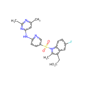 Cc1cc(Nc2ccc(S(=O)(=O)n3c(C)c(CC(=O)O)c4cc(F)ccc43)cn2)nc(C)n1